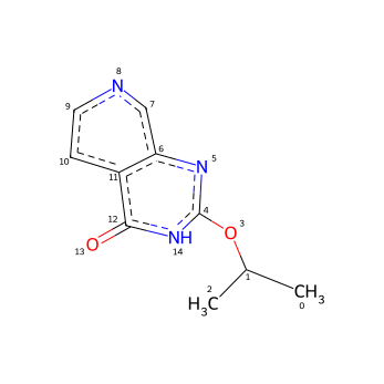 CC(C)Oc1nc2cnccc2c(=O)[nH]1